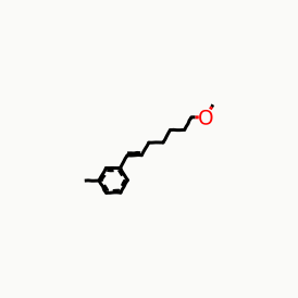 COCCCCC/C=C/c1cccc(C)c1